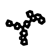 c1ccc(-c2ccc(N(c3ccc(-c4cc5c6ccccc6ccc5c5ccccc45)cc3)c3ccc4c(c3)oc3ccccc34)cc2)cc1